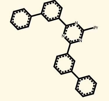 CC(C)c1nc(-c2cccc(-c3ccccc3)c2)nc(-c2cccc(-c3ccccc3)c2)n1